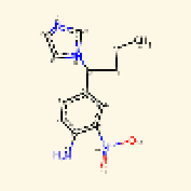 CCCC(c1ccc(N)c([N+](=O)[O-])c1)n1ccnc1